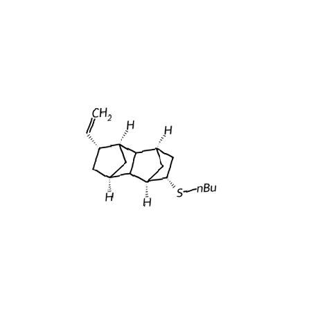 C=C[C@H]1C[C@H]2C[C@@H]1C1C2[C@H]2C[C@@H]1C[C@@H]2SCCCC